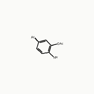 CCCc1ccc(C(C)=O)cc1OC(C)=O